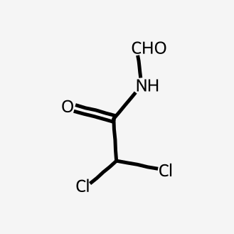 O=CNC(=O)C(Cl)Cl